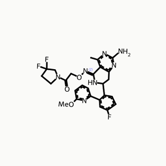 COc1cccc(-c2cc(F)ccc2C2Cc3nc(N)nc(C)c3/C(=N/OCC(=O)N3CCC(F)(F)C3)N2)n1